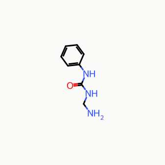 NCNC(=O)Nc1ccccc1